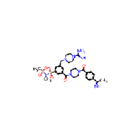 CC(=N)c1ccc(C(=O)N2CCN(C(=O)c3cc(CN4CCN(C(=N)N)CC4)cc(S(=O)(=O)N(C)S(C)(=O)=O)c3)CC2)cc1